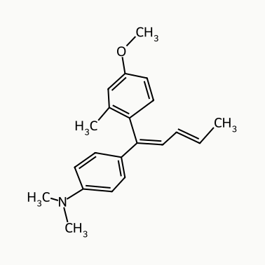 CC=CC=C(c1ccc(N(C)C)cc1)c1ccc(OC)cc1C